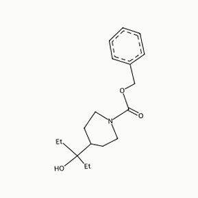 CCC(O)(CC)C1CCN(C(=O)OCc2ccccc2)CC1